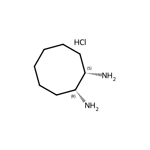 Cl.N[C@@H]1CCCCCC[C@@H]1N